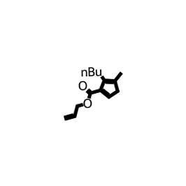 C=CCOC(=O)C1=CCC(C)=C1CCCC